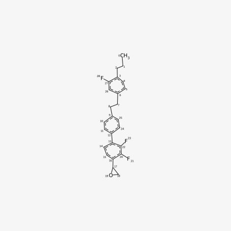 CCCc1ccc(CCc2ccc(-c3ccc(C4CO4)c(F)c3F)cc2)cc1F